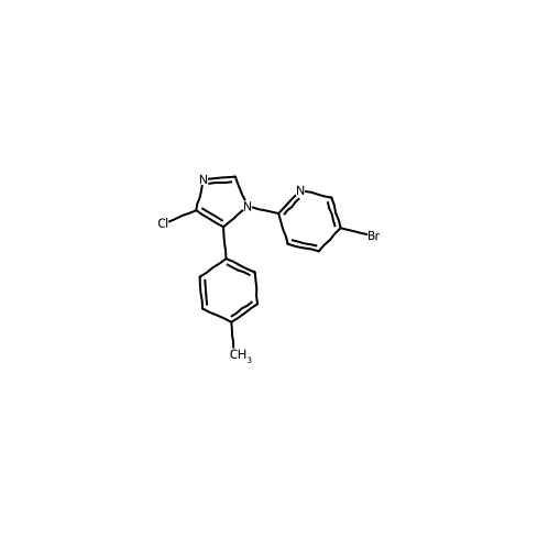 Cc1ccc(-c2c(Cl)ncn2-c2ccc(Br)cn2)cc1